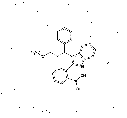 O=[N+]([O-])OCCC(c1ccccc1)c1c(-c2ccccc2B(O)O)[nH]c2ccccc12